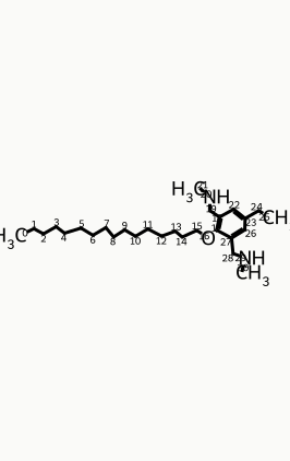 CCCCCCCCCCCCCCCCOc1c(CNC)cc(CC)cc1CNC